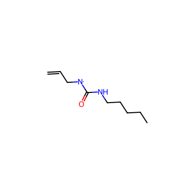 C=CC[N]C(=O)NCCCCC